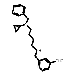 O=Cc1ccnc(CNCCCCN(Cc2ccccc2)C2CC2)c1